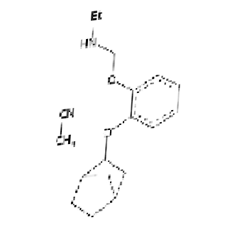 CC#N.CCNCOc1ccccc1OC1CC2CCC1C2